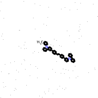 Cc1cccc(-n2c3ccccc3c3cc(-c4ccc(/C=C/c5ccc(-c6cccc(-n7c8ccccc8c8ccccc87)c6)cc5)cc4)ccc32)c1